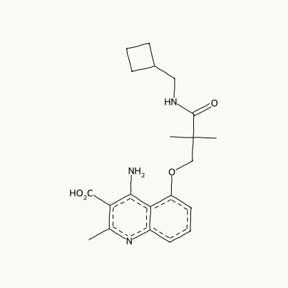 Cc1nc2cccc(OCC(C)(C)C(=O)NCC3CCC3)c2c(N)c1C(=O)O